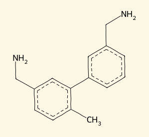 Cc1ccc(CN)cc1-c1cccc(CN)c1